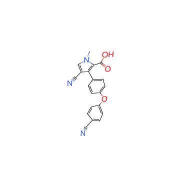 Cn1cc(C#N)c(-c2ccc(Oc3ccc(C#N)cc3)cc2)c1C(=O)O